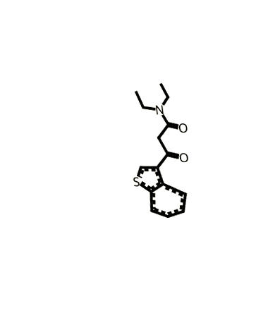 CCN(CC)C(=O)CC(=O)c1csc2ccccc12